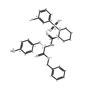 O=C(OCc1ccccc1)[C@H](Cc1ccc(O)cc1)NC(=O)[C@@H]1CCCCN1S(=O)(=O)c1cccc(F)c1